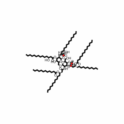 CCCCCCCCCCCCCC(=O)O[C@H](CCCCCCCCCCC)CC(=O)O[C@@H]1C(NC(=O)C[C@@H](CCCCCCCCCCC)OC(=O)CCCCCCCCCCC)[C@H](OCC2O[C@@H](OP(=O)(O)O)C(NC(=O)C[C@H](O)CCCCCCCCCCC)[C@@H](OC(=O)C[C@H](O)CCCCCCCCCCC)[C@@H]2O)OC(CO)[C@H]1OP(=O)(O)O